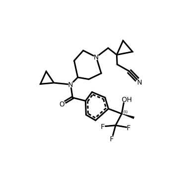 C[C@](O)(c1ccc(C(=O)N(C2CC2)C2CCN(CC3(CC#N)CC3)CC2)cc1)C(F)(F)F